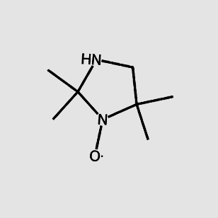 CC1(C)CNC(C)(C)N1[O]